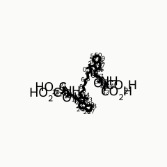 CC1(C)C(/C=C/C=C/C=C/C=C2/N(CCC(=O)NC(CC(=O)O)C(=O)O)c3ccc4ccccc4c3C2(C)C)=[N+](CCC(=O)NC(CC(=O)O)C(=O)O)c2ccc3ccccc3c21